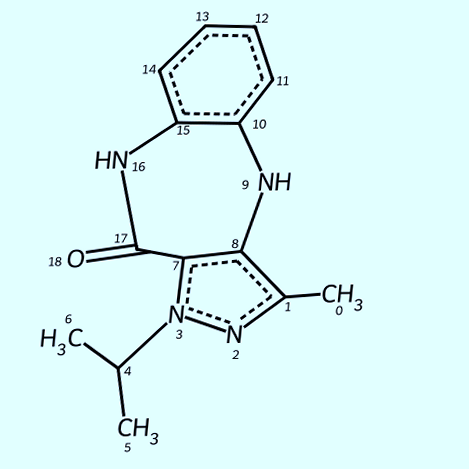 Cc1nn(C(C)C)c2c1Nc1ccccc1NC2=O